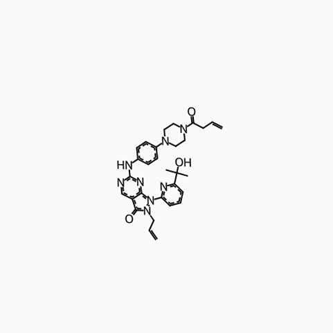 C=CCC(=O)N1CCN(c2ccc(Nc3ncc4c(=O)n(CC=C)n(-c5cccc(C(C)(C)O)n5)c4n3)cc2)CC1